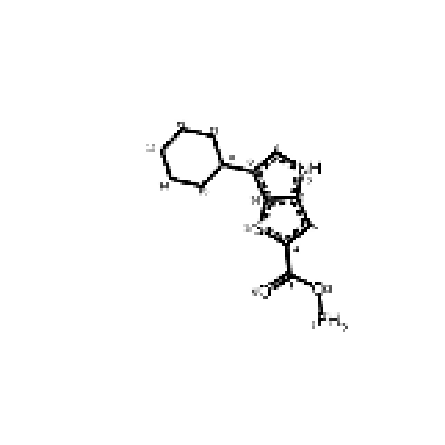 O=C(OP)c1cc2[nH]cc(C3CCCCC3)c2s1